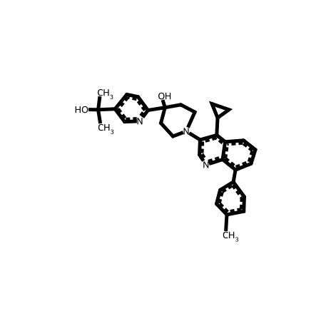 Cc1ccc(-c2cccc3c(C4CC4)c(N4CCC(O)(c5ccc(C(C)(C)O)cn5)CC4)cnc23)cc1